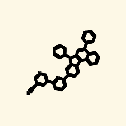 N#Cc1cncc(-c2cccc(-c3ccc4c5c6ccccc6c(-c6ccccc6)cc5n(-c5ccccc5)c4c3)n2)c1